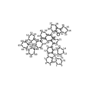 c1ccc(C2(c3ccccc3)c3ccccc3-c3c(-c4cccc5c(-c6cccc7c6oc6ccccc67)c6cccc(-c7cccc8c7-c7ccccc7C8(c7ccccc7)c7ccccc7)c6cc45)cccc32)cc1